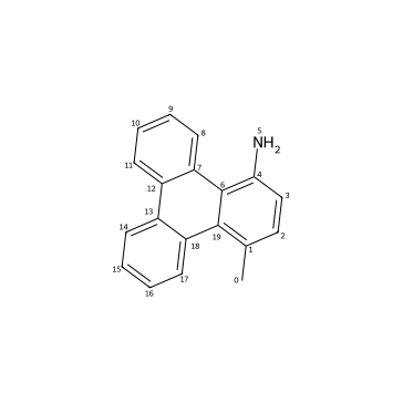 Cc1ccc(N)c2c3ccccc3c3ccccc3c12